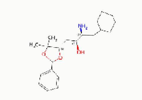 CC1(C)OC(c2ccccc2)O[C@H]1C[C@H](O)[C@@H](N)CC1CCCCC1